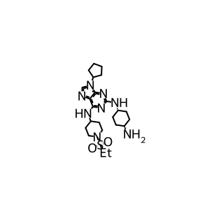 CCS(=O)(=O)N1CCC(Nc2nc(N[C@H]3CC[C@H](N)CC3)nc3c2ncn3C2CCCC2)CC1